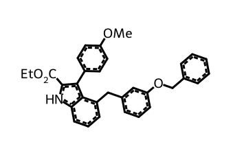 CCOC(=O)c1[nH]c2cccc(Cc3cccc(OCc4ccccc4)c3)c2c1-c1ccc(OC)cc1